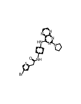 O=C(Cc1cc(Br)cs1)Nc1ccc(Nc2nc(N3CCCC3)nc3nccnc23)cc1